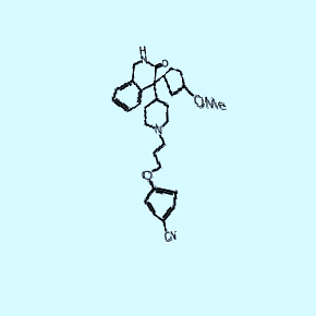 COC1CCC(C2(C3CCN(CCCOc4ccc(C#N)cc4)CC3)C(=O)NCc3ccccc32)C1